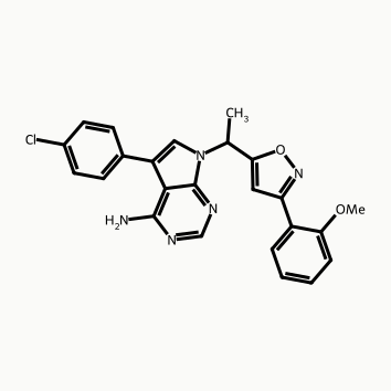 COc1ccccc1-c1cc(C(C)n2cc(-c3ccc(Cl)cc3)c3c(N)ncnc32)on1